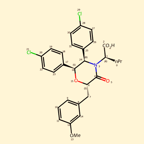 CCC[C@H](C(=O)O)N1C(=O)[C@H](Cc2cccc(OC)c2)O[C@@H](c2ccc(Cl)cc2)[C@H]1c1ccc(Cl)cc1